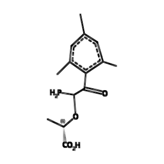 Cc1cc(C)c(C(=O)C(P)O[C@@H](C)C(=O)O)c(C)c1